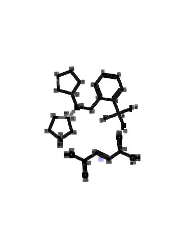 FC(F)(F)c1ccccc1CN(C1CCCC1)[C@H]1CCNC1.O=C(O)/C=C/C(=O)O